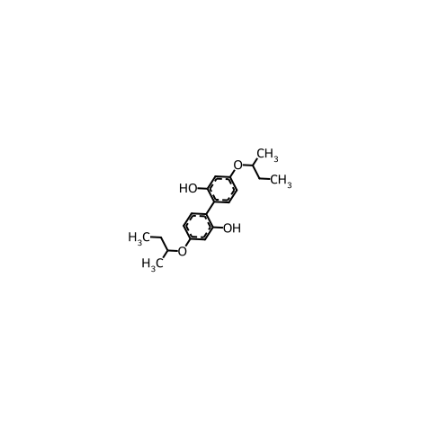 CCC(C)Oc1ccc(-c2ccc(OC(C)CC)cc2O)c(O)c1